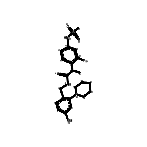 CC(C(=O)NCc1ccc(C(C)(C)C)cc1N1CCCCC1)c1ccc(NS(C)(=O)=O)cc1F